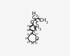 C=CC(C)(C)Oc1ccc(C2CCCCCOC2)cc1